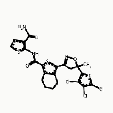 NC(=O)c1ccsc1NC(=O)c1sc(C2=NOC(c3sc(Cl)c(Cl)c3Cl)(C(F)(F)F)C2)c2c1CCCC2